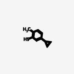 Cc1ccc(C2CC2)[c]c1S